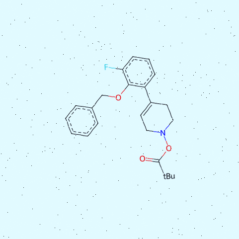 CC(C)(C)C(=O)ON1CC=C(c2cccc(F)c2OCc2ccccc2)CC1